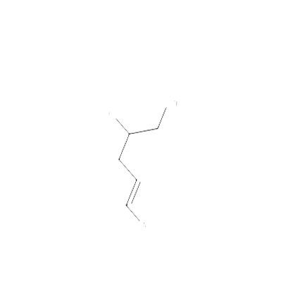 CC(=O)C=CCC(C)CC(C)C